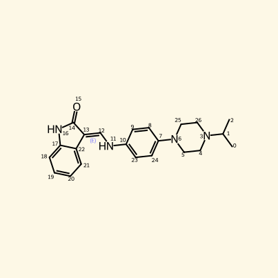 CC(C)N1CCN(c2ccc(N/C=C3/C(=O)Nc4ccccc43)cc2)CC1